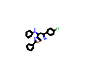 N=C(CC(Nc1ccccc1)c1csc(-c2ccccc2)n1)c1ccc(Cl)cc1